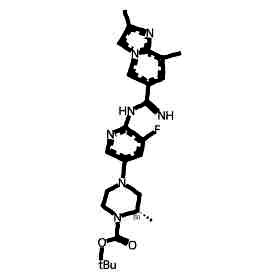 Cc1cn2cc(C(=N)Nc3ncc(N4CCN(C(=O)OC(C)(C)C)[C@@H](C)C4)cc3F)cc(C)c2n1